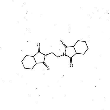 O=C1C2CCCCC2C(=S)N1CCN1C(=O)C2CCCCC2C1=S